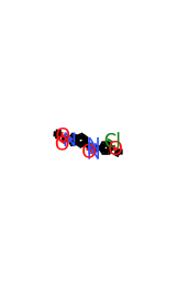 CC(C)Oc1ccc(-c2noc(-c3ccc4cn(C(=O)OC(C)(C)C)cc4c3)n2)cc1Cl